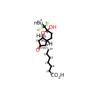 CCCCC(F)(F)[C@@]1(O)CC[C@@H]2[C@H](CCCCCCC(=O)O)C(=O)C[C@H]2O1